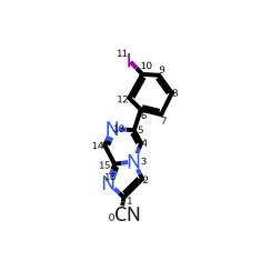 N#Cc1cn2cc(-c3cccc(I)c3)ncc2n1